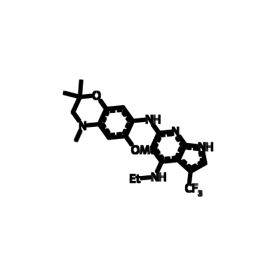 CCNc1cc(Nc2cc3c(cc2OC)N(C)CC(C)(C)O3)nc2[nH]cc(C(F)(F)F)c12